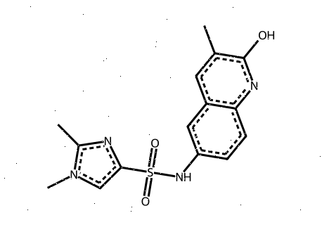 Cc1cc2cc(NS(=O)(=O)c3cn(C)c(C)n3)ccc2nc1O